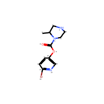 CC1CNCCN1C(=O)Oc1ccc(Br)nc1